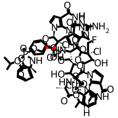 CC(C)OC(=O)[C@H](C)NP(=O)(OC[C@H]1O[C@@H](n2ccc3c(=O)[nH]c(NC(C)OC(=O)[C@H](C)N[P@](=O)(OC[C@H]4O[C@@H](n5ccc6c(=O)[nH]c(NC(C)OC(=O)[C@H](C)N[P@@](=O)(OC[C@H]7O[C@@H](n8ccc9c(=O)[nH]c(N)nc98)[C@@](Cl)(CF)C7O)Oc7ccccc7)nc65)[C@@](Cl)(CF)C4O)Oc4ccccc4)nc32)[C@@](Cl)(CF)C1O)Oc1ccccc1